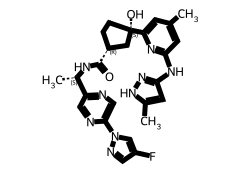 Cc1cc(Nc2cc(C)[nH]n2)nc([C@]2(O)CC[C@@H](C(=O)N[C@@H](C)c3cnc(-n4cc(F)cn4)cn3)C2)c1